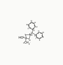 [CH2]C1(O)CN(C(c2ccccc2)c2ccccc2)C1